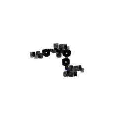 CCO/C(=C\c1ccc(-c2cccc(N(C)C(=O)NCCc3ccc(OC)cc3)c2)cc1)C(=O)O